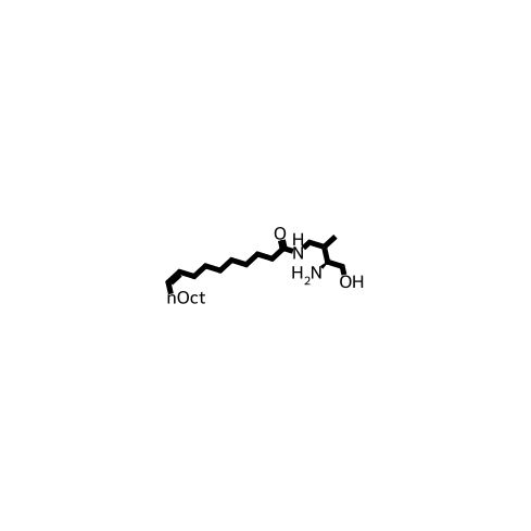 CCCCCCCC/C=C\CCCCCCCC(=O)NCC(C)[C@H](N)CO